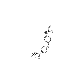 C=CC(=O)Nc1ccc(SC2CCN(C(=O)OC(C)(C)C)CC2)cc1